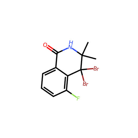 CC1(C)NC(=O)c2cccc(F)c2C1(Br)Br